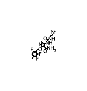 Cc1cc(F)c(COc2nsc(NC(=O)NCCN(C)C)c2C(N)=O)c(F)c1F